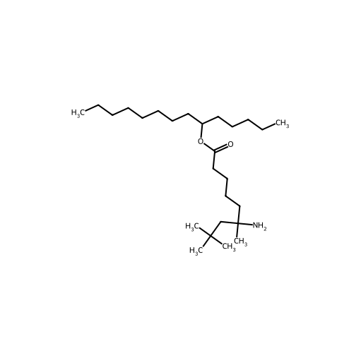 CCCCCCCCC(CCCCC)OC(=O)CCCCC(C)(N)CC(C)(C)C